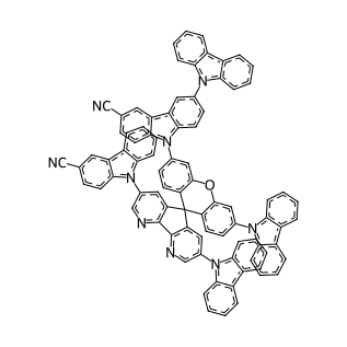 N#Cc1ccc2c(c1)c1ccccc1n2-c1cnc2c(c1)C1(c3ccc(-n4c5ccccc5c5ccccc54)cc3Oc3cc(-n4c5ccc(C#N)cc5c5cc(-n6c7ccccc7c7ccccc76)ccc54)ccc31)c1cc(-n3c4ccccc4c4ccccc43)cnc1-2